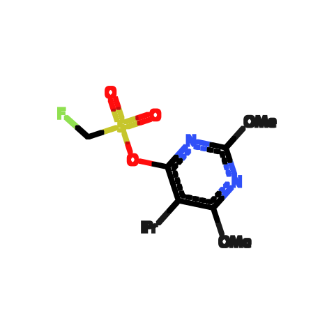 COc1nc(OC)c(C(C)C)c(OS(=O)(=O)CF)n1